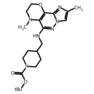 Cc1cn2nc(NCC3CCN(C(=O)OC(C)(C)C)CC3)c3c(c2n1)OCCN3C